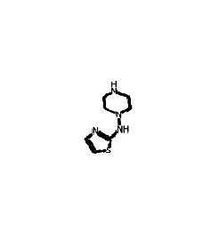 c1csc(NN2CCNCC2)n1